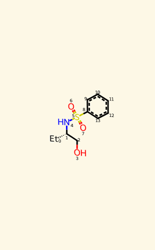 CC[C@@H](CO)NS(=O)(=O)c1ccccc1